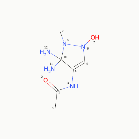 CC(=O)NC1=CN(O)N(C)C1(N)N